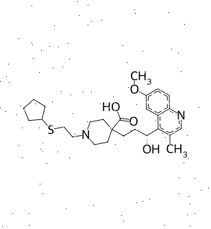 COc1ccc2ncc(C)c([C@H](O)CCC3(C(=O)O)CCN(CCSC4CCCC4)CC3)c2c1